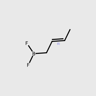 C/C=C/CB(F)F